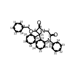 O=C1CN2C(=O)C(OCc3ccccc3)C2(c2ccccc2)c2ccccc2N1c1ccccc1